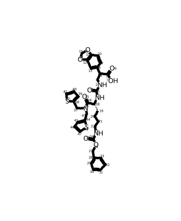 O=C(NCC(C(=O)O)c1ccc2c(c1)OCO2)N[C@H](CCCCNC(=O)OCc1ccccc1)C(=O)N(Cc1cccs1)Cc1cccs1